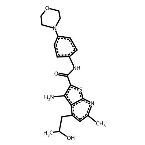 Cc1cc(CC(C)O)c2c(N)c(C(=O)Nc3ccc(N4CCOCC4)cc3)sc2n1